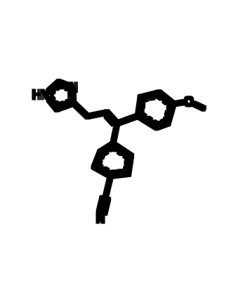 COc1ccc(C(=CCc2c[nH]cn2)c2ccc(C#N)cc2)cc1